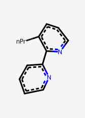 CCCc1cccnc1-c1ccccn1